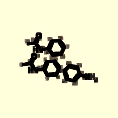 CC(=O)Nc1ccccc1.CC(=O)Nc1ccccc1.Nc1ccccc1